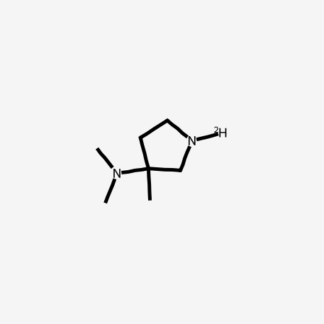 [2H]N1CCC(C)(N(C)C)C1